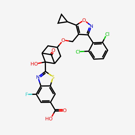 O=C(O)c1cc(F)c2nc(C3(O)C4CC(OCc5c(-c6c(Cl)cccc6Cl)noc5C5CC5)CC3C4=O)sc2c1